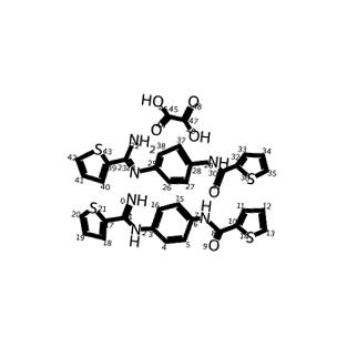 N=C(Nc1ccc(NC(=O)c2cccs2)cc1)c1cccs1.NC(=Nc1ccc(NC(=O)c2cccs2)cc1)c1cccs1.O=C(O)C(=O)O